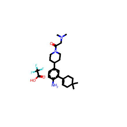 CN(C)CC(=O)N1CCC(c2ccc(N)c(C3=CCC(C)(C)CC3)c2)CC1.O=C(O)C(F)(F)F